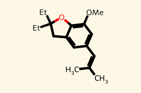 CCC1(CC)Cc2cc(C=C(C)C)cc(OC)c2O1